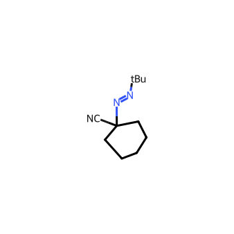 CC(C)(C)N=NC1(C#N)CCCCC1